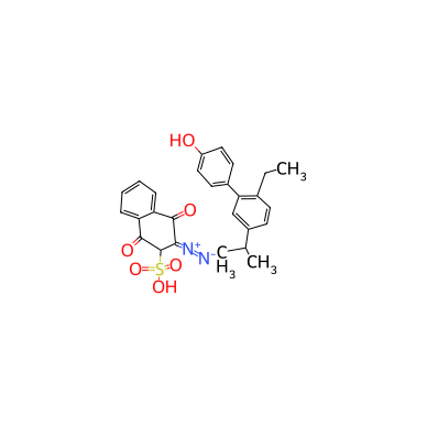 CCc1ccc(C(C)C)cc1-c1ccc(O)cc1.[N-]=[N+]=C1C(=O)c2ccccc2C(=O)C1S(=O)(=O)O